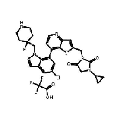 O=C(O)C(F)(F)F.O=C1CN(C2CC2)C(=O)N1Cc1cc2nccc(-c3cc(Cl)cc4ccn(CC5(F)CCNCC5)c34)c2s1